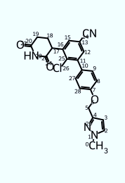 Cn1ccc(COc2ccc(-c3cc(C#N)cc(C4CCC(=O)NC4=O)c3Cl)cc2)n1